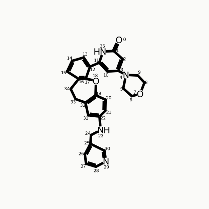 O=c1cc(N2CCOCC2)cc(-c2cccc3c2Oc2ccc(NCc4cccnc4)cc2CC3)[nH]1